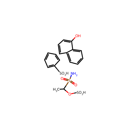 CC(OS(=O)(=O)O)S(N)(=O)=O.O=S(=O)(O)c1ccccc1.Oc1cccc2ccccc12